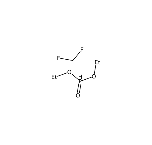 CCO[PH](=O)OCC.FCF